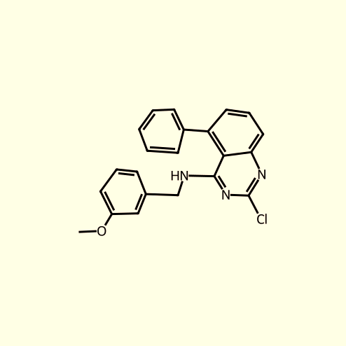 COc1cccc(CNc2nc(Cl)nc3cccc(-c4ccccc4)c23)c1